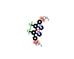 CS(=O)(=O)c1ccc(-c2cc(C(F)(F)F)cc(C(=O)c3cc(C(F)(F)F)cc(-c4ccc(S(C)(=O)=O)cc4)c3-c3ccccn3)c2-c2ccccn2)cc1